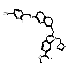 COC(=O)c1ccc2nc(CC3CCc4ccc(OCc5ccc(Cl)cc5F)cc4C3)n(CC3CCO3)c2c1